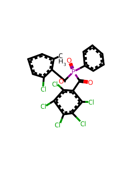 Cc1cccc(Cl)c1C(=O)P(=O)(C(=O)c1c(Cl)c(Cl)c(Cl)c(Cl)c1Cl)c1ccccc1